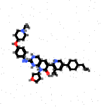 CCC1CCC(c2cnc(-c3cc4cnc(Nc5ccc(OC6CCN(C)CC6)cc5)nc4n(C4CCOC4)c3=O)c(C)c2)CC1